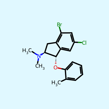 Cc1ccccc1O[C@H]1c2cc(Cl)cc(Br)c2C[C@@H]1N(C)C